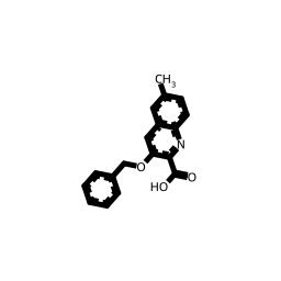 Cc1ccc2nc(C(=O)O)c(OCc3ccccc3)cc2c1